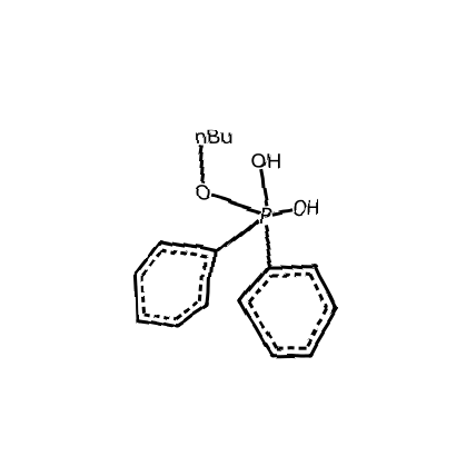 CCCCOP(O)(O)(c1ccccc1)c1ccccc1